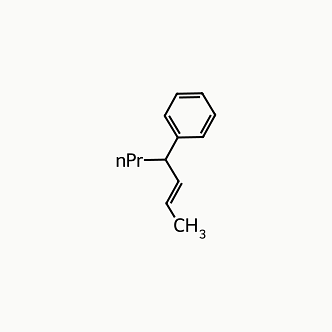 C/C=C/C(CCC)c1ccccc1